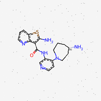 Nc1sc2cccnc2c1C(=O)Nc1cnccc1N1CCC[C@H](N)CC1